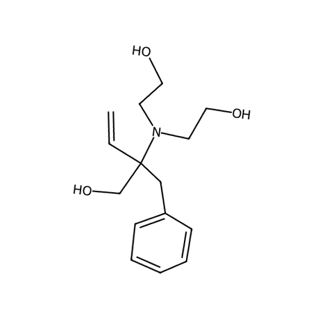 C=CC(CO)(Cc1ccccc1)N(CCO)CCO